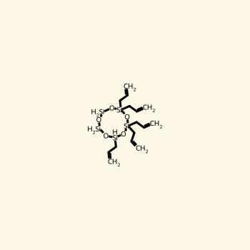 C=CC[SiH]1O[SiH2]O[SiH2]O[Si](CC=C)(CC=C)O[Si](CC=C)(CC=C)O1